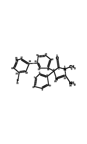 CN1C(=O)C(c2cc[c]cc2)(c2cccc(-c3cncc(F)c3)c2)N=C1N